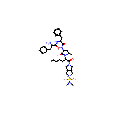 CC1CC(NC(=O)C(Cc2ccccc2)NC(=O)C(N)Cc2ccccc2)C(=O)N1C(CCCCN)C(=O)N1CC2CN(S(=O)(=O)N(C)C)CC2C1